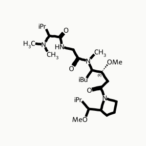 CCC(C)C([C@@H](CC(=O)N1CCCC1C(OC)C(C)C)OC)N(C)C(=O)CNC(=O)C(C(C)C)N(C)C